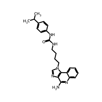 CC(C)c1ccc(NC(=O)NCCCCn2cnc3c(N)nc4ccccc4c32)cc1